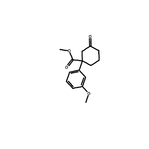 COC(=O)C1(c2cccc(OC)c2)CCCC(=O)C1